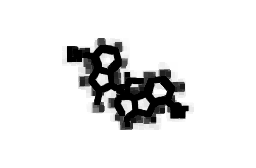 CC[Si](CC)(C1c2cccc(Br)c2CC1C)C1c2cccc(Br)c2CC1C